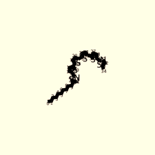 CCCCCCCCCCc1cnc(-c2ccc(-c3ccc(-c4ccc(-c5ccc(-c6ncc(C)s6)s5)s4)s3)s2)s1